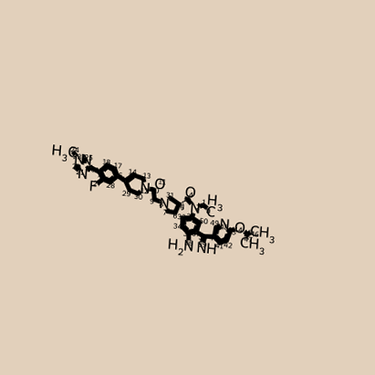 CCN(C(=O)[C@@H]1CCN(CC(=O)N2CC=C(c3ccc(-c4ncn(C)n4)c(F)c3)CC2)C1)c1ccc(N)c(C(=N)c2ccc(OC(C)C)nc2)c1